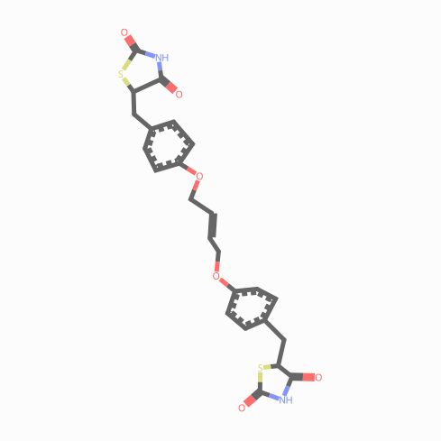 O=C1NC(=O)C(Cc2ccc(OCC=CCOc3ccc(CC4SC(=O)NC4=O)cc3)cc2)S1